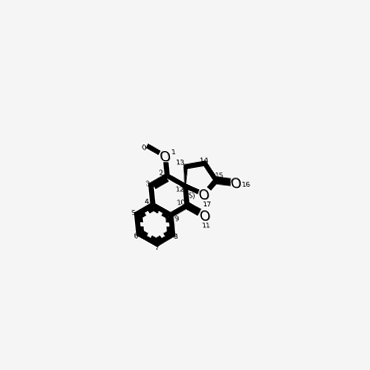 COC1=Cc2ccccc2C(=O)[C@]12CCC(=O)O2